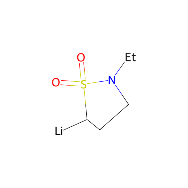 [Li][CH]1CCN(CC)S1(=O)=O